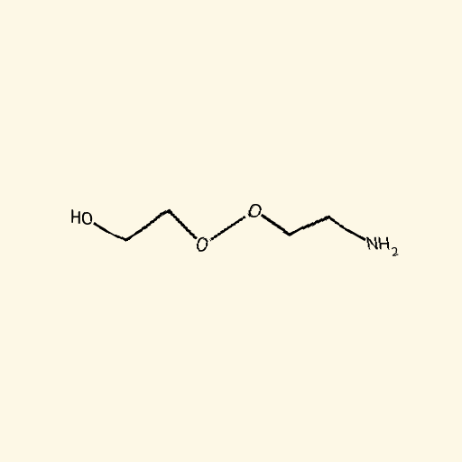 NCCOOCCO